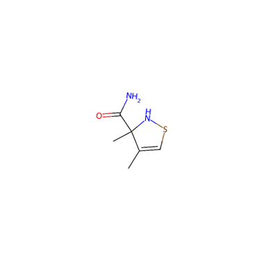 CC1=CSNC1(C)C(N)=O